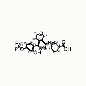 O=C(O)N1CCC[C@@H](Nc2nnc(-c3ccc(OC(F)(F)F)cc3O)c3c2COCC3)C1